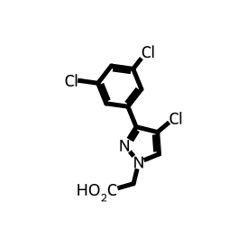 O=C(O)Cn1cc(Cl)c(-c2cc(Cl)cc(Cl)c2)n1